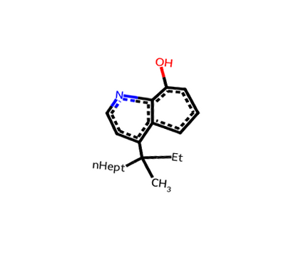 CCCCCCCC(C)(CC)c1ccnc2c(O)cccc12